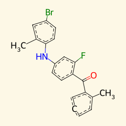 Cc1cc(Br)ccc1Nc1ccc(C(=O)c2ccccc2C)c(F)c1